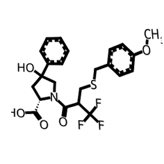 COc1ccc(CSCC(C(=O)N2CC(O)(c3ccccc3)C[C@H]2C(=O)O)C(F)(F)F)cc1